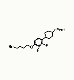 CCCCCC1CCC(c2ccc(OCCCCBr)c(F)c2F)CC1